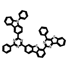 c1ccc(-c2nc(-c3ccc4c(c3)sc3c(-c5nc(-c6ccccc6)c6sc7ccccc7c6n5)cccc34)nc(-c3ccc4c(c3)c3ccccc3n4-c3ccccc3)n2)cc1